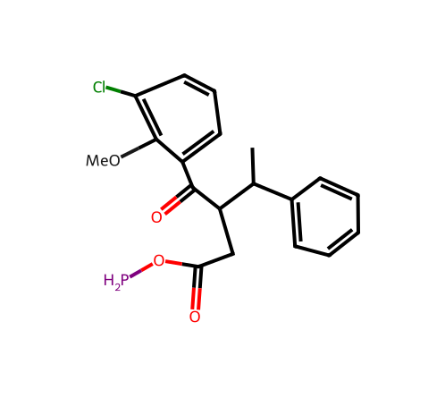 COc1c(Cl)cccc1C(=O)C(CC(=O)OP)C(C)c1ccccc1